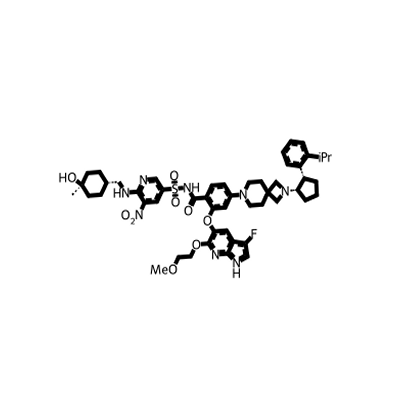 COCCOc1nc2[nH]cc(F)c2cc1Oc1cc(N2CCC3(CC2)CN([C@H]2CCC[C@H]2c2ccccc2C(C)C)C3)ccc1C(=O)NS(=O)(=O)c1cnc(NC[C@H]2CC[C@](C)(O)CC2)c([N+](=O)[O-])c1